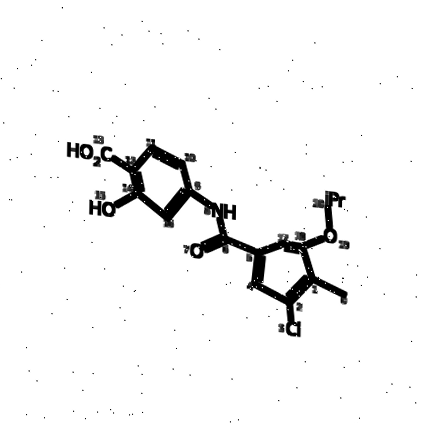 Cc1c(Cl)cc(C(=O)Nc2ccc(C(=O)O)c(O)c2)cc1OC(C)C